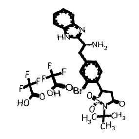 CC(C)(C)N1C(=O)CC(c2ccc(C[C@H](N)c3nc4ccccc4[nH]3)cc2Br)S1(=O)=O.O=C(O)C(F)(F)F.O=C(O)C(F)(F)F